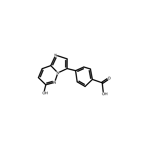 O=C(O)c1ccc(-c2cnc3ccc(O)nn23)cc1